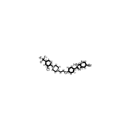 FC(F)(F)c1cnc(N2CCN(CCOc3ccc(-c4nc5cc(Br)cnc5[nH]4)cc3)CC2)c(Cl)c1